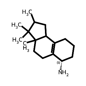 CC1CC2C3=C(CCC2(C)C1(C)C)[C@@H](N)CCC3